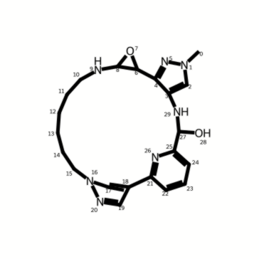 Cn1cc2c(n1)C1OC1NCCCCCCn1cc(cn1)-c1cccc(n1)C(O)N2